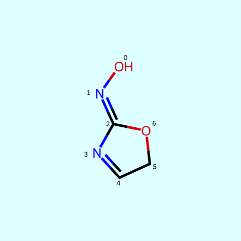 ON=C1N=CCO1